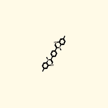 Cc1ccc2c(c1)NC=C(c1ccc(C3=CNc4cc(C)ccc4N3C)cc1)N2C